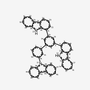 c1cc(-c2cc(-c3cccc4c3[nH]c3ccccc34)cc(-c3cccc4c3[nH]c3ccccc34)c2)cc(-n2c3ccccc3c3ccccc32)c1